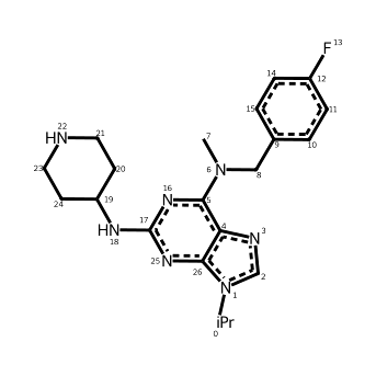 CC(C)n1cnc2c(N(C)Cc3ccc(F)cc3)nc(NC3CCNCC3)nc21